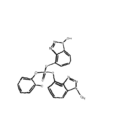 O=P(Oc1ccccc1Cl)(Oc1cccc2c1nnn2O)Oc1cccc2c1nnn2O